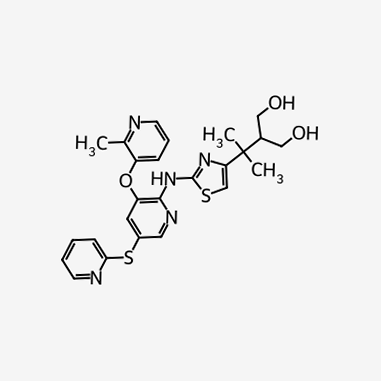 Cc1ncccc1Oc1cc(Sc2ccccn2)cnc1Nc1nc(C(C)(C)C(CO)CO)cs1